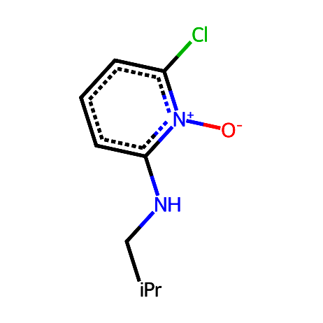 CC(C)CNc1cccc(Cl)[n+]1[O-]